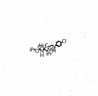 CC(CNc1ccc(Cl)cc1)N[C@H](C(=O)NC(=O)OC(C)C)C(C)C